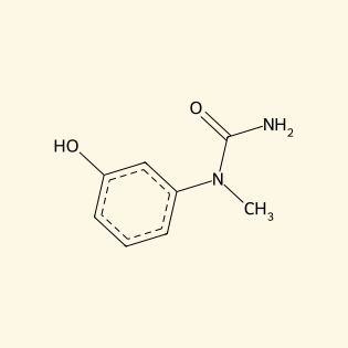 CN(C(N)=O)c1cccc(O)c1